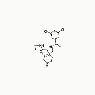 CC(C)(C)NC(=O)C[C@@]1(CNC(=O)c2cc(Cl)cc(Cl)c2)CCNC[C@H]1F